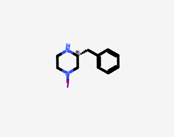 IN1CCN[C@H](Cc2ccccc2)C1